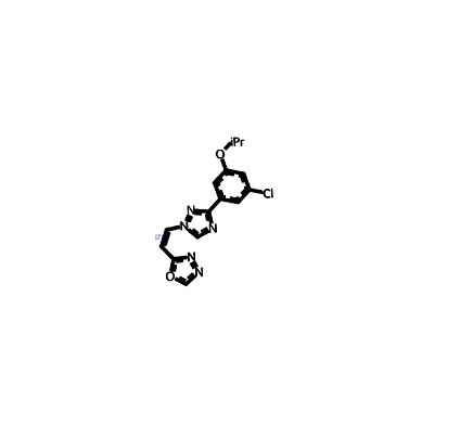 CC(C)Oc1cc(Cl)cc(-c2ncn(/C=C\c3nnco3)n2)c1